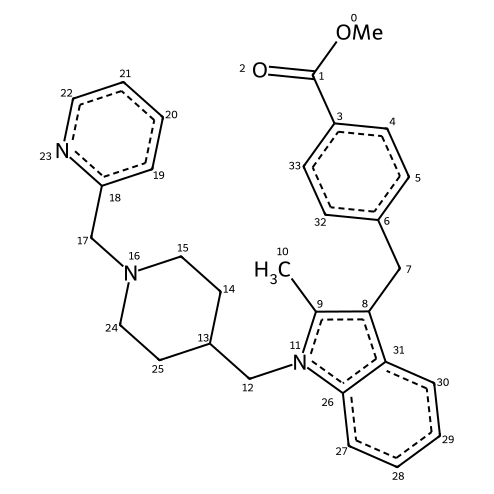 COC(=O)c1ccc(Cc2c(C)n(CC3CCN(Cc4ccccn4)CC3)c3ccccc23)cc1